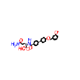 COc1cccc(COc2ccc(-c3ccc(C(=O)N[C@@H](CCC(N)=O)C(=O)O)cc3)cc2)c1